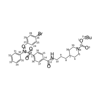 CC(C)(C)OC(=O)N1CCC(CCCNC(=O)c2ccc(S(=O)(=O)N(Oc3ccc(Br)cc3)c3ccccc3)cc2)CC1